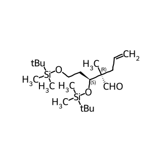 C=CC[C@@](C)(C=O)[C@H](CCO[Si](C)(C)C(C)(C)C)O[Si](C)(C)C(C)(C)C